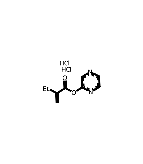 C=C(CC)C(=O)Oc1cnccn1.Cl.Cl